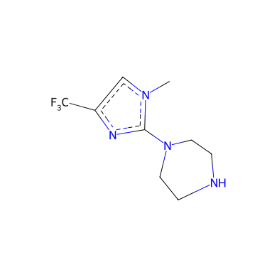 Cn1cc(C(F)(F)F)nc1N1CCNCC1